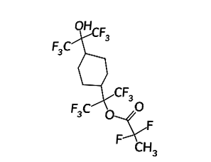 CC(F)(F)C(=O)OC(C1CCC(C(O)(C(F)(F)F)C(F)(F)F)CC1)(C(F)(F)F)C(F)(F)F